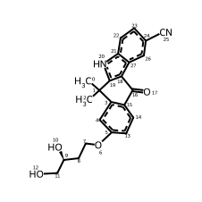 CC1(C)c2cc(OCC[C@H](O)CO)ccc2C(=O)c2c1[nH]c1ccc(C#N)cc21